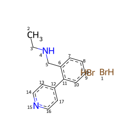 Br.Br.CCNCc1ccccc1-c1ccncc1